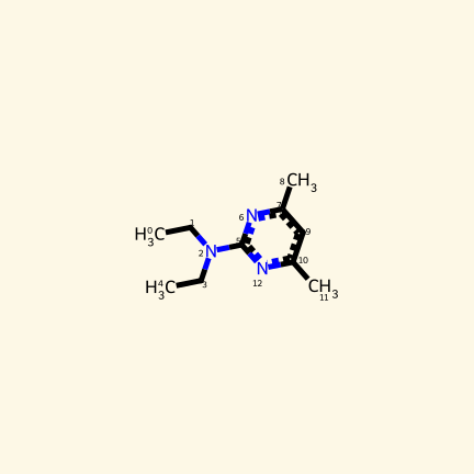 CCN(CC)c1nc(C)cc(C)n1